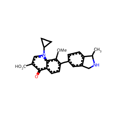 COc1c(-c2ccc3c(c2)CNC3C)ccc2c(=O)c(C(=O)O)cn(C3CC3)c12